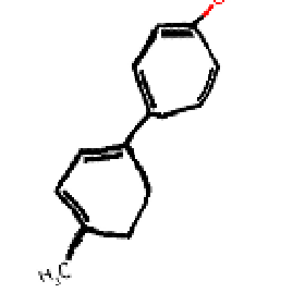 COc1ccc(C2=CC=C(C)CC2)cc1